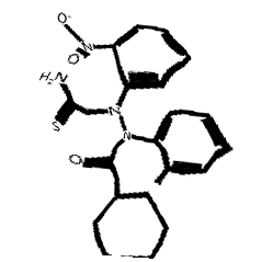 Cc1ccccc1N(C(=O)C1CCCCC1)N(C(N)=S)c1ccccc1[N+](=O)[O-]